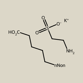 CCCCCCCCCCCCCC(=O)O.NCCS(=O)(=O)[O-].[K+]